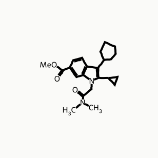 COC(=O)c1ccc2c(C3CCCCC3)c(C3CC3)n(CC(=O)N(C)C)c2c1